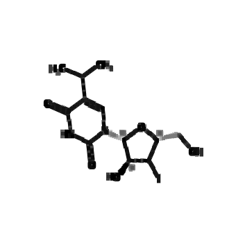 CC(C)c1cn([C@@H]2O[C@H](CO)C(I)[C@H]2O)c(=O)[nH]c1=O